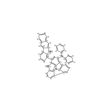 B1c2cccc3c4cccc5c6c(N(c7ccccc7)c7ccccc7)cc(-c7cccc8c7[nH]c7cc9ccccc9cc78)c1c6n(c23)c45